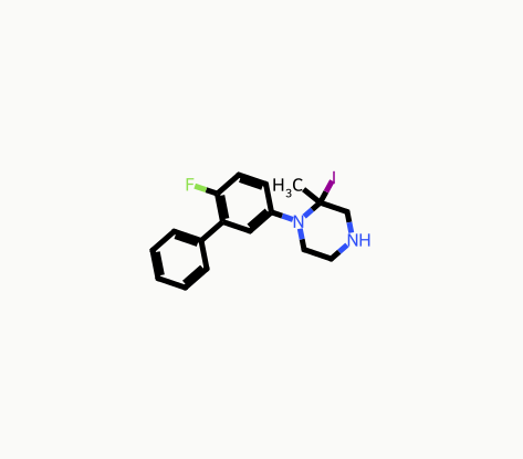 CC1(I)CNCCN1c1ccc(F)c(-c2ccccc2)c1